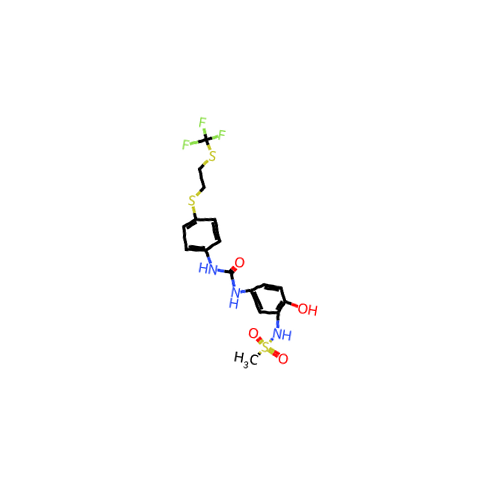 CS(=O)(=O)Nc1cc(NC(=O)Nc2ccc(SCCSC(F)(F)F)cc2)ccc1O